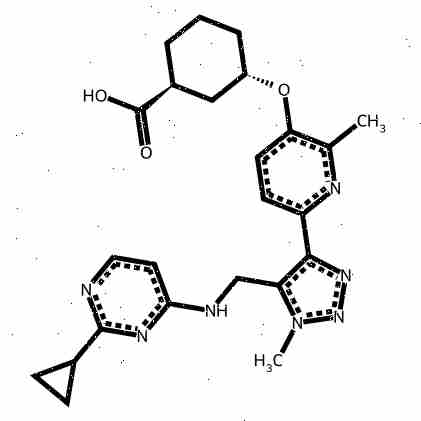 Cc1nc(-c2nnn(C)c2CNc2ccnc(C3CC3)n2)ccc1O[C@H]1CCC[C@H](C(=O)O)C1